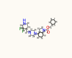 O=C(OCc1ccccc1)N1CCc2c(N3CCN(C[C@@H]4CCNCC4(F)F)CC3)cccc21